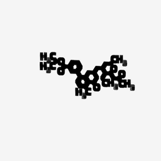 CCCC(CC1CC(=O)c2c(C)ccc(-c3cccc(C(=O)OC(C)C)c3)c2C1)C(CC)C(=O)CC(C)=O